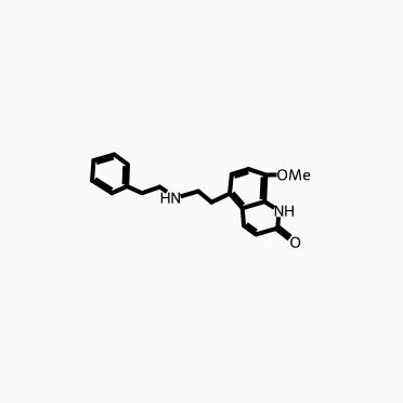 COc1ccc(CCNCCc2ccccc2)c2ccc(=O)[nH]c12